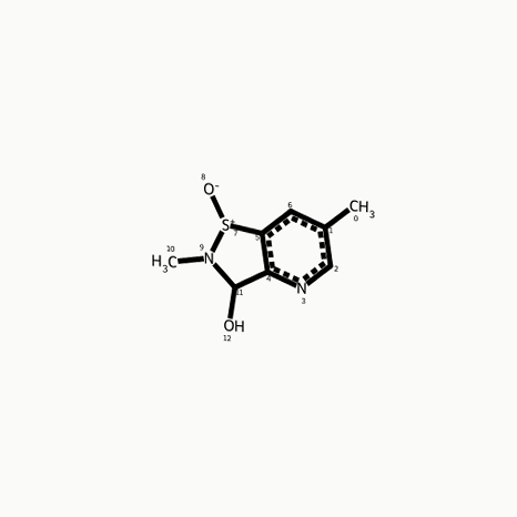 Cc1cnc2c(c1)[S+]([O-])N(C)C2O